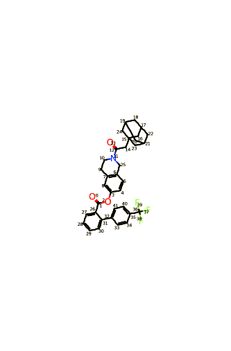 O=C(Oc1ccc2c(c1)CCN(C(=O)CC13CC4CC(CC(C4)C1)C3)C2)c1ccccc1-c1ccc(C(F)(F)F)cc1